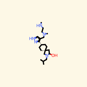 CNCCN(C)Cc1c[nH]nc1[C@H]1CC[C@]2(CC1)CC(O)N(CC(C)C)C2